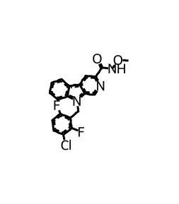 CONC(=O)c1cc2c3ccccc3n(Cc3c(F)ccc(Cl)c3F)c2cn1